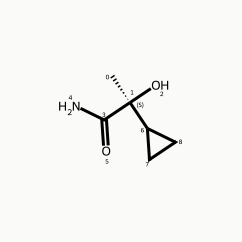 C[C@@](O)(C(N)=O)C1CC1